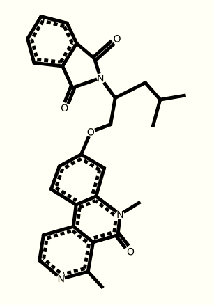 Cc1nccc2c1c(=O)n(C)c1cc(OCC(CC(C)C)N3C(=O)c4ccccc4C3=O)ccc21